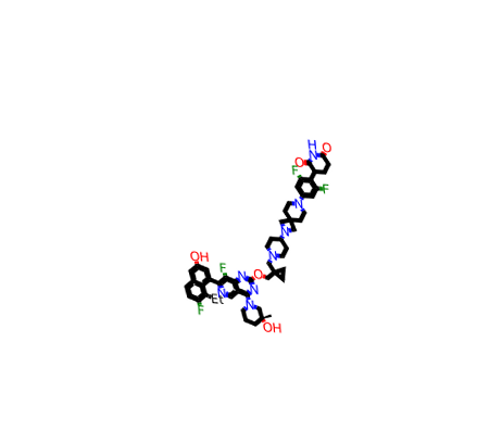 CCc1c(F)ccc2cc(O)cc(-c3ncc4c(N5CCC[C@@](C)(O)C5)nc(OCC5(CN6CCC(N7CC8(CCN(c9cc(F)c(C%10CCC(=O)NC%10=O)c(F)c9)CC8)C7)CC6)CC5)nc4c3F)c12